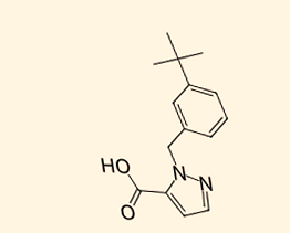 CC(C)(C)c1cccc(Cn2nccc2C(=O)O)c1